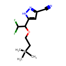 C[Si](C)(C)CCOC(c1cc(C#N)n[nH]1)C(F)F